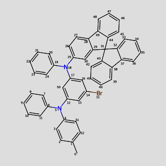 Cc1ccc(N(c2ccccc2)c2cc(Br)cc(N(c3ccccc3)c3ccc4c(c3)C3(c5ccccc5-c5ccccc53)c3ccccc3-4)c2)cc1